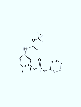 Cc1ccc(NC(=O)OC23CC2C3)cc1NC(=O)Nc1ccccc1